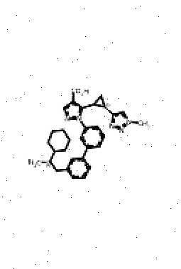 C[C@H](Cc1cccc(-c2cccc(-n3ncc(C(=O)O)c3C3C[C@H]3c3cn(C)nn3)c2)c1)C1CCCCC1